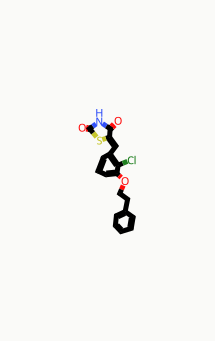 O=C1NC(=O)/C(=C/c2cccc(OCCc3ccccc3)c2Cl)S1